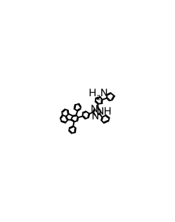 Nc1ccccc1-c1cccc(C2N=C(c3ccc(-c4cc(-c5ccccc5)c5c(c4-c4ccccc4)-c4cccc6cccc-5c46)cc3)N=C(c3ccccc3)N2)c1